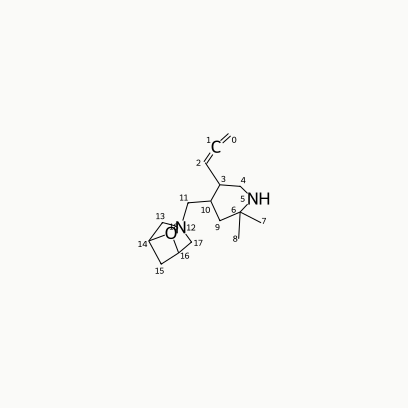 C=C=CC1CNC(C)(C)CC1CN1CC2CC(C1)O2